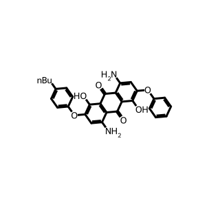 CCCCc1ccc(Oc2cc(N)c3c(c2O)C(=O)c2c(N)cc(Oc4ccccc4)c(O)c2C3=O)cc1